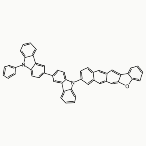 c1ccc(-n2c3ccccc3c3cc(-c4ccc5c(c4)c4ccccc4n5-c4ccc5cc6cc7c(cc6cc5c4)oc4ccccc47)ccc32)cc1